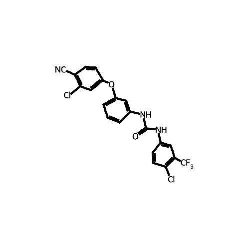 N#Cc1ccc(Oc2cccc(NC(=O)Nc3ccc(Cl)c(C(F)(F)F)c3)c2)cc1Cl